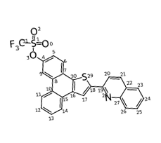 O=S(=O)(Oc1ccc2c(c1)c1ccccc1c1cc(-c3ccc4ccccc4n3)sc21)C(F)(F)F